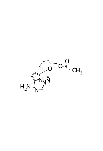 CCC(=O)OC[C@@H]1CCC[C@](C#N)(c2ccc3c(N)ncnn23)O1